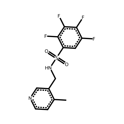 Cc1ccncc1CNS(=O)(=O)c1cc(F)c(F)c(F)c1F